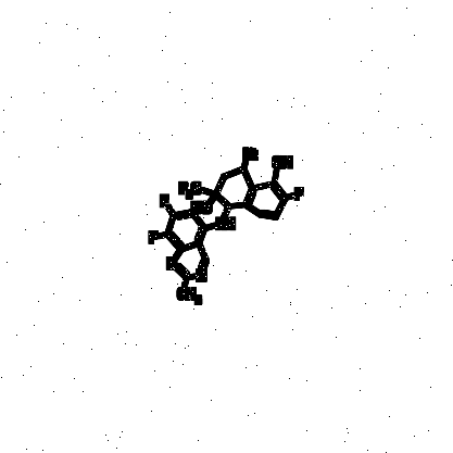 CCC1CC(O)(C(F)(F)F)C(Nc2cc(F)c(F)c3nc(C)ncc23)c2ccc(F)c(O)c21